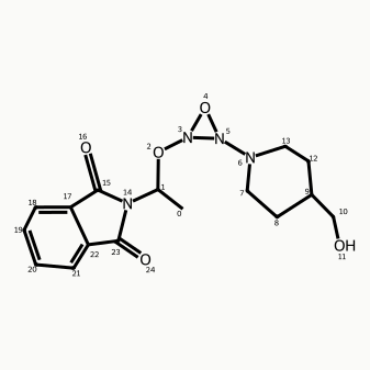 CC(On1on1N1CCC(CO)CC1)N1C(=O)c2ccccc2C1=O